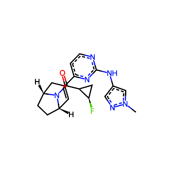 Cn1cc(Nc2nccc(C3=C[C@@H]4CC[C@H](C3)N4C(=O)C3C[C@H]3F)n2)cn1